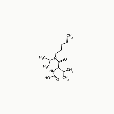 C=CCCCN(C(=O)C(NC(=O)O)C(C)C)C(C)C